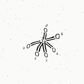 [O]=[Ta](=[O])(=[O])(=[O])(=[O])=[O]